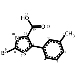 Cc1cccc(-c2sc(Br)nc2C(=O)O)c1